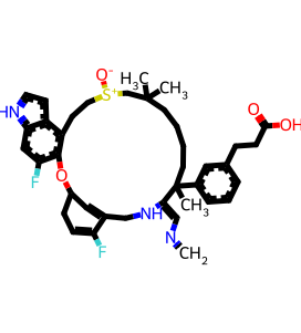 C=N/C=C1\NCC2=CC(CC=C2F)Oc2c(F)cc3[nH]ccc3c2CC[S+]([O-])CC(C)(C)CCCCC1(C)c1cccc(CCC(=O)O)c1